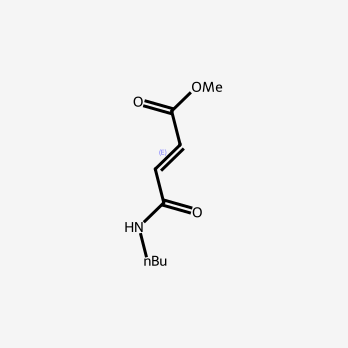 CCCCNC(=O)/C=C/C(=O)OC